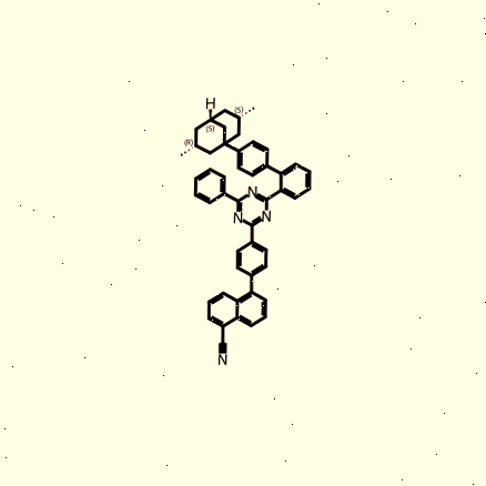 C[C@@H]1C[C@@H]2C[C@H](C)CC(c3ccc(-c4ccccc4-c4nc(-c5ccccc5)nc(-c5ccc(-c6cccc7c(C#N)cccc67)cc5)n4)cc3)(C1)C2